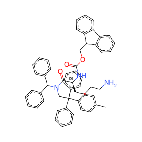 Cc1ccc(C(CN(C(=O)[C@H](CCCCN)NC(=O)OCC2c3ccccc3-c3ccccc32)C(c2ccccc2)c2ccccc2)(c2ccccc2)c2ccccc2)cc1